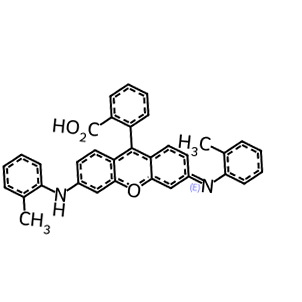 Cc1ccccc1/N=c1\ccc2c(-c3ccccc3C(=O)O)c3ccc(Nc4ccccc4C)cc3oc-2c1